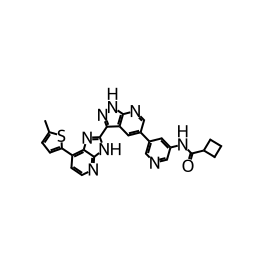 Cc1ccc(-c2ccnc3[nH]c(-c4n[nH]c5ncc(-c6cncc(NC(=O)C7CCC7)c6)cc45)nc23)s1